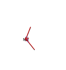 CCC#CC(=N/c1ccccc1CC/C=C/CCCCCCCCCCCCCCCCCCCCCCCCC)/C(CCCCC)=N/c1ccccc1CC/C=C/CCCCCCCCCCCCCCCCCCCCCCCCC.[Ni]